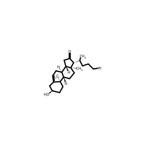 CC(C)CCCC(C)[C@H]1C(=O)C[C@H]2[C@@H]3CC=C4C[C@H](O)CC[C@]4(C)[C@H]3CC[C@]12C